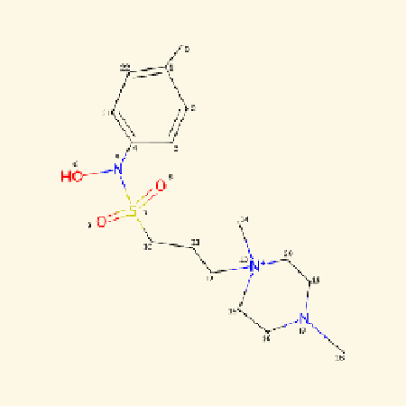 Cc1ccc(N(O)S(=O)(=O)CCC[N+]2(C)CCN(C)CC2)cc1